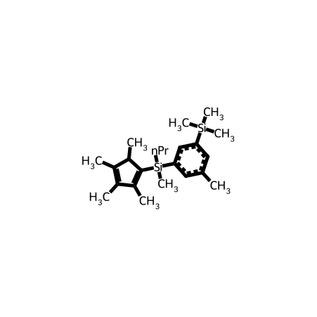 CCC[Si](C)(C1=C(C)C(C)=C(C)C1C)c1cc(C)cc([Si](C)(C)C)c1